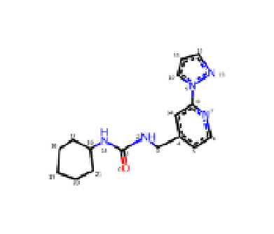 O=C(NCc1ccnc(-n2cccn2)c1)NC1CCCCC1